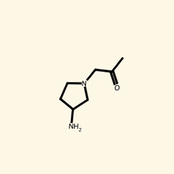 CC(=O)CN1CCC(N)C1